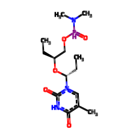 CC[C@@H](CO[PH](=O)N(C)C)O[C@H](CC)n1cc(C)c(=O)[nH]c1=O